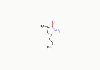 C=C(COCCC)C(N)=O